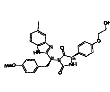 COc1ccc(C[C@@H](c2nc3cc(I)ccc3[nH]2)N2C(=O)N[C@H](c3ccc(OCCO)cc3)C2=O)cc1